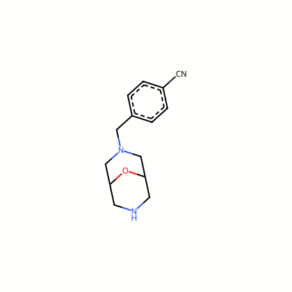 N#Cc1ccc(CN2CC3CNCC(C2)O3)cc1